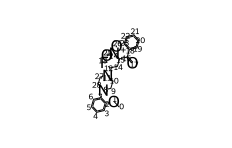 COc1ccccc1N1CCN(C(F)CC(C(=O)c2ccccc2)[N+](=O)[O-])CC1